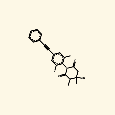 CN1C(=O)N(c2c(F)cc(C#Cc3ccccc3)cc2F)C(=O)CC1(C)C(C)(C)C